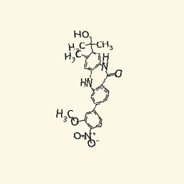 COc1cc(-c2ccc3c(c2)Nc2cc(C)c(C(C)(C)CO)cc2NC3=O)ccc1[N+](=O)[O-]